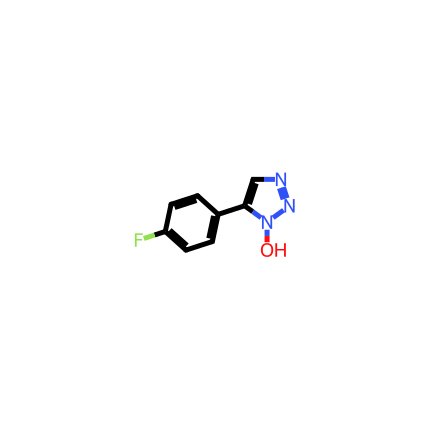 On1nncc1-c1ccc(F)cc1